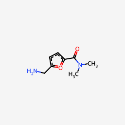 CN(C)C(=O)c1ccc(CN)o1